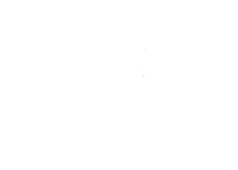 C[C@H]1CC2C3CCC4=CC(=O)CC[C@]4(C)C3=CC[C@]2(C)[C@@]1(I)C(=O)CO